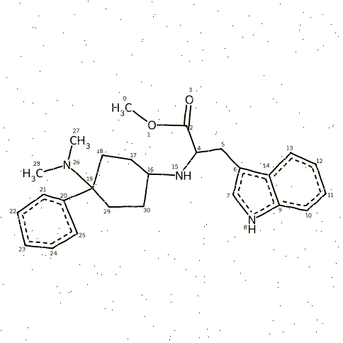 COC(=O)C(Cc1c[nH]c2ccccc12)NC1CCC(c2ccccc2)(N(C)C)CC1